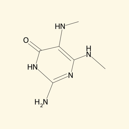 CNc1nc(N)[nH]c(=O)c1NC